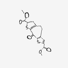 COC(=O)c1cc2c(s1)C(=O)c1sc(C(=O)OC)cc1CC2